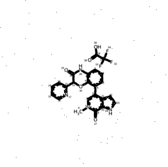 Cn1cc(-c2cccc3c2OC(c2ccccn2)C(=O)N3)c2cc[nH]c2c1=O.O=C(O)C(F)(F)F